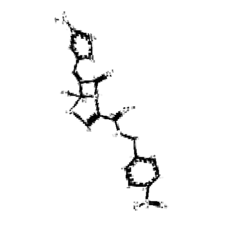 Cn1cc(C=C2C(=O)N3C(C(=O)OCc4ccc([N+](=O)[O-])cc4)=CS[C@H]23)nn1